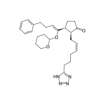 O=C1CC[C@H](C(=CCCc2ccccc2)OC2CCCCO2)[C@@H]1C/C=C\CCCc1nnn[nH]1